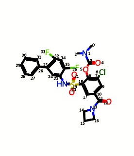 CN(C)C(=O)Oc1c(Cl)cc(C(=O)N2CCC2)cc1S(=O)(=O)Nc1cc(-c2ccccc2)c(F)cc1F